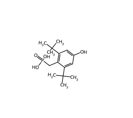 CC(C)(C)c1cc(O)cc(C(C)(C)C)c1CP(=O)(O)O